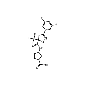 O=C(O)C1CCC(NC(=O)C2(C(F)(F)F)CC(c3cc(F)cc(F)c3)=NO2)C1